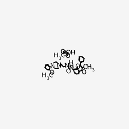 COc1ccccc1N1CCN(CCNC(=O)Nc2cccc3c(=O)c(C)c(-c4ccccc4)oc23)CC1.CS(=O)(=O)O